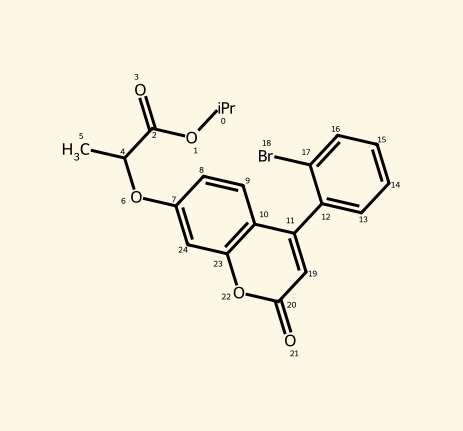 CC(C)OC(=O)C(C)Oc1ccc2c(-c3ccccc3Br)cc(=O)oc2c1